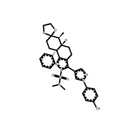 C[C@H]1[C@@H]2CCc3c(nn(S(=O)(=O)N(C)C)c3-c3cnn(-c4ccc(C#N)cc4)c3)[C@@]2(c2ccccc2)CCC12OCCO2